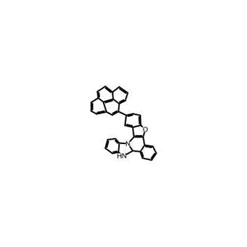 c1ccc2c(c1)NC1c3ccccc3-c3oc4ccc(-c5cc6cccc7ccc8cccc5c8c76)cc4c3N21